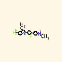 CCN(I)c1ccc(-c2ccc(-c3cc(C)c4cc(C(F)(F)F)ccc4n3)cc2F)cc1